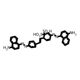 Nc1ccc(N=NC2=CC(S(=O)(=O)O)(S(=O)(=O)O)C(C=Cc3ccc(N=Nc4ccc(N)c5ccccc45)cc3)C=C2)c2ccccc12